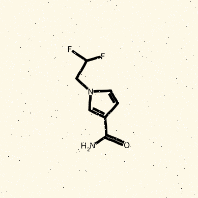 NC(=O)c1ccn(CC(F)F)c1